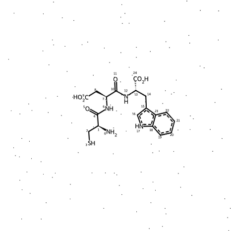 N[C@@H](CS)C(=O)N[C@@H](CC(=O)O)C(=O)N[C@@H](Cc1c[nH]c2ccccc12)C(=O)O